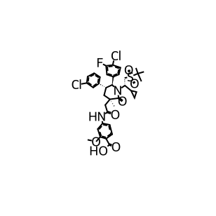 COc1cc(NC(=O)C[C@@]2(C)C[C@H](c3cccc(Cl)c3)[C@@H](c3ccc(Cl)c(F)c3)N([C@H](CS(=O)(=O)C(C)(C)C)C3CC3)C2=O)ccc1C(=O)O